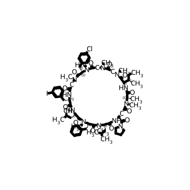 CC[C@H](C)[C@@H]1NC(=O)[C@H](C)N(C)C(=O)C[C@@H](C(=O)N2CCCC2)NC(=O)[C@H](CC(C)C)N(C)C(=O)[C@H](Cc2ccccc2)N(C)C(=O)[C@H](CC(C)C)NC(=O)[C@H](Cc2cccc(I)c2)NC(=O)CN(C)C(=O)[C@H](Cc2ccc(Cl)cc2)N(C)C(=O)CN(C)C(=O)CN(C)C1=O